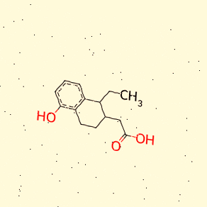 CCC1c2cccc(O)c2CCC1CC(=O)O